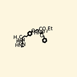 CCOC(=O)[C@H](CCOc1ccc(CCC(C)=NNC2=NCCN2)cc1)NC(=O)OCc1ccccc1